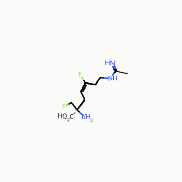 CC(=N)NCC/C(F)=C\C[C@@](N)(CF)C(=O)O